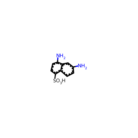 Nc1ccc2c(S(=O)(=O)O)ccc(N)c2c1